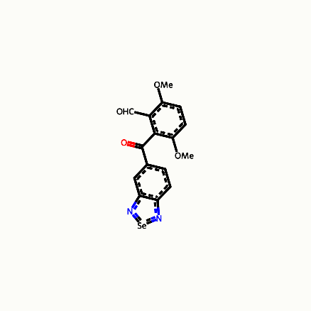 COc1ccc(OC)c(C(=O)c2ccc3n[se]nc3c2)c1C=O